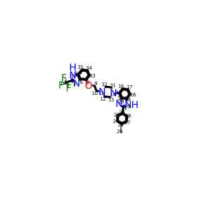 FC(F)(F)c1nc2c(OCCN3CCN(c4cccc5[nH]c(-c6ccc(I)cc6)nc45)CC3)cccc2[nH]1